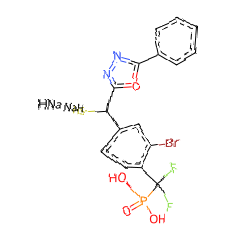 O=P(O)(O)C(F)(F)c1ccc(C(S)c2nnc(-c3ccccc3)o2)cc1Br.[NaH].[NaH]